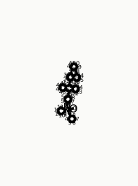 O=c1n(-c2ccccc2)c2ccccc2n1-c1ccc(-c2c3ccccc3c(-c3ccc4c5c(cccc35)-c3ccccc3-4)c3ccccc23)cc1